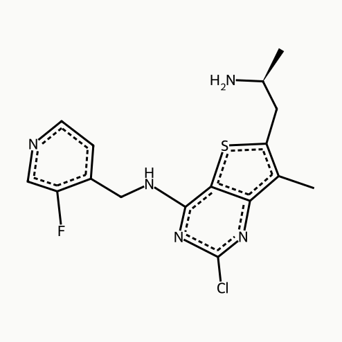 Cc1c(C[C@H](C)N)sc2c(NCc3ccncc3F)nc(Cl)nc12